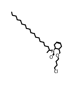 CCCCCCCCCCCCCCCCCC(C)N(C=O)C1CC=CCC1COCCCCCl